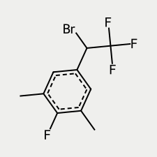 Cc1cc(C(Br)C(F)(F)F)cc(C)c1F